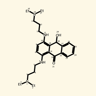 CCN(CC)CCCNc1ccc(NCCCN(CC)CC)c2c1C(=O)c1ccccc1C2O